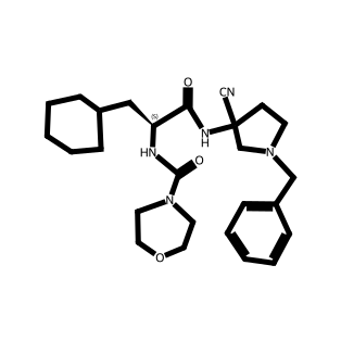 N#CC1(NC(=O)[C@H](CC2CCCCC2)NC(=O)N2CCOCC2)CCN(Cc2ccccc2)C1